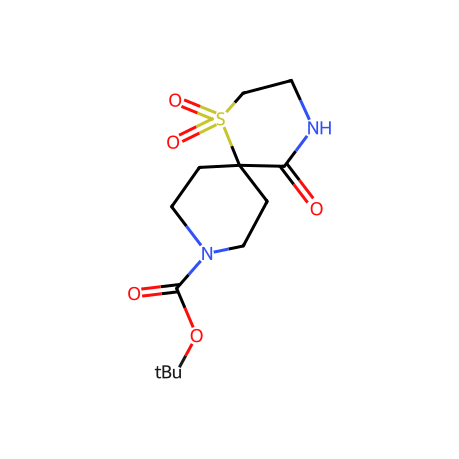 CC(C)(C)OC(=O)N1CCC2(CC1)C(=O)NCCS2(=O)=O